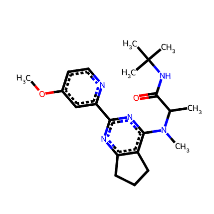 COc1ccnc(-c2nc3c(c(N(C)C(C)C(=O)NC(C)(C)C)n2)CCC3)c1